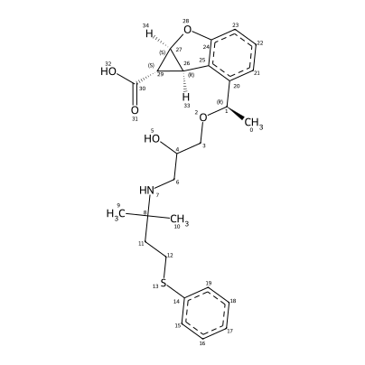 C[C@@H](OCC(O)CNC(C)(C)CCSc1ccccc1)c1cccc2c1[C@@H]1[C@H](O2)[C@H]1C(=O)O